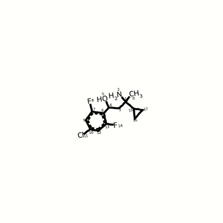 CC(N)(CC(O)c1c(F)cc(Cl)cc1F)C1CC1